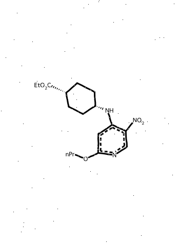 CCCOc1cc(N[C@H]2CC[C@@H](C(=O)OCC)CC2)c([N+](=O)[O-])cn1